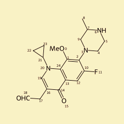 COc1c(N2CCNC(C)C2)c(F)cc2c(=O)c(CC=O)cn(C3CC3)c12